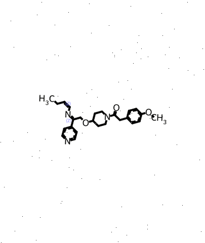 CC/C=C\N=C(/COC1CCN(C(=O)Cc2ccc(OC)cc2)CC1)c1ccncc1